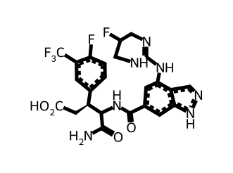 NC(=O)C(NC(=O)c1cc(NC2=NCC(F)CN2)c2cn[nH]c2c1)[C@@H](CC(=O)O)c1ccc(F)c(C(F)(F)F)c1